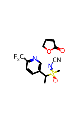 CC(c1ccc(C(F)(F)F)nc1)S(C)(=O)=NC#N.O=C1C=CCO1